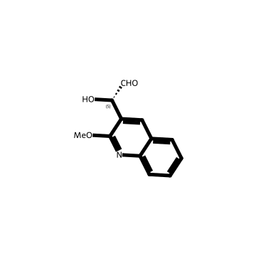 COc1nc2ccccc2cc1[C@H](O)C=O